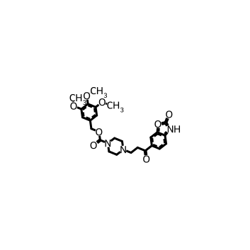 COc1cc(COC(=O)N2CCN(CCC(=O)c3ccc4[nH]c(=O)oc4c3)CC2)cc(OC)c1OC